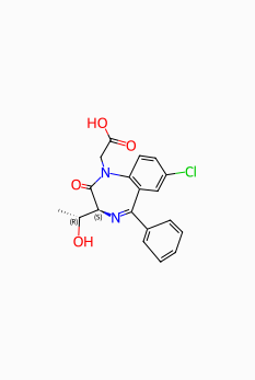 C[C@@H](O)[C@@H]1N=C(c2ccccc2)c2cc(Cl)ccc2N(CC(=O)O)C1=O